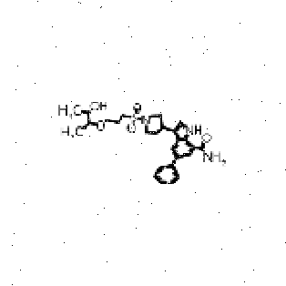 CC(O)C(C)OCCCS(=O)(=O)N1CCC(c2c[nH]c3c(C(N)=O)cc(-c4ccccc4)cc23)CC1